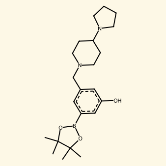 CC1(C)OB(c2cc(O)cc(CN3CCC(N4CCCC4)CC3)c2)OC1(C)C